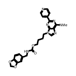 CNc1nc(-c2ccncc2)nc2c1ncn2CCCCOC(=O)NCc1ccc2c(c1)OCO2